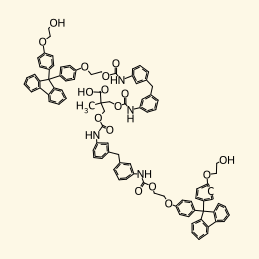 CC(COC(=O)Nc1cccc(Cc2cccc(NC(=O)OCCOc3ccc(C4(c5ccc(OCCO)cc5)c5ccccc5-c5ccccc54)cc3)c2)c1)(COC(=O)Nc1cccc(Cc2cccc(NC(=O)OCCOc3ccc(C4(c5ccc(OCCO)cc5)c5ccccc5-c5ccccc54)cc3)c2)c1)C(=O)O